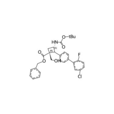 CC(C)(C)OC(=O)N[C@H]1C[C@@](CO)(C(=O)OCc2ccccc2)C1c1ccc(-c2cc(Cl)ccc2F)cc1